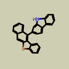 c1ccc2c(-c3ccc4c(c3)[nH]c3ccccc34)c3c(cc2c1)sc1ccccc13